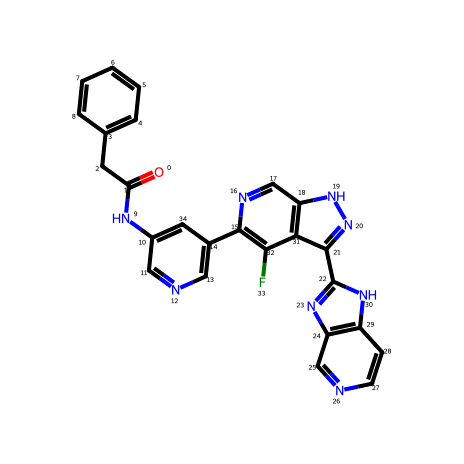 O=C(Cc1ccccc1)Nc1cncc(-c2ncc3[nH]nc(-c4nc5cnccc5[nH]4)c3c2F)c1